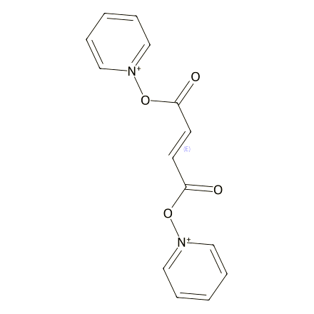 O=C(/C=C/C(=O)O[n+]1ccccc1)O[n+]1ccccc1